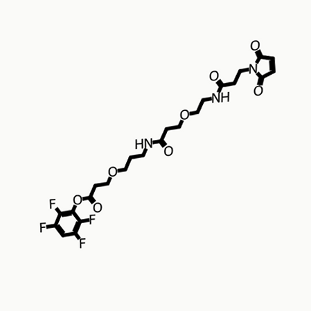 O=C(CCOCCNC(=O)CCN1C(=O)C=CC1=O)NCCCOCCC(=O)Oc1c(F)c(F)cc(F)c1F